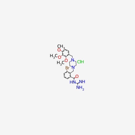 COc1ccc(CN2CCN(Cc3c(Br)cccc3C(=O)NC(=N)N)CC2)c(OC)c1OC.Cl